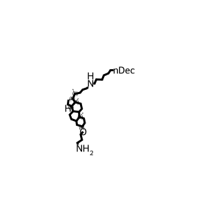 CCCCCCCCCCCCCCCCNCCC[C@@H](C)[C@H]1CC[C@H]2C3CCC4C[C@H](OCCCN)CC[C@]4(C)C3CC[C@]12C